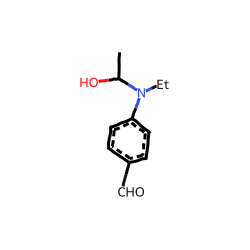 CCN(c1ccc(C=O)cc1)C(C)O